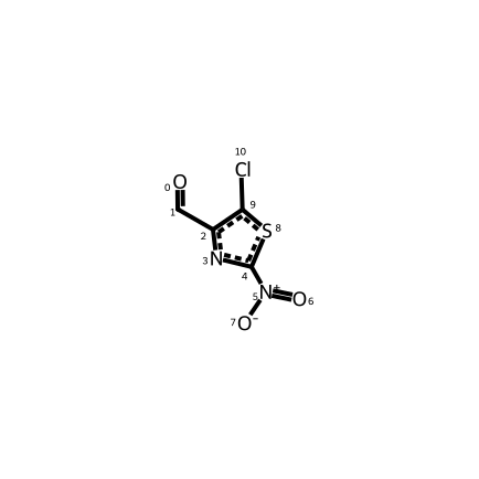 O=Cc1nc([N+](=O)[O-])sc1Cl